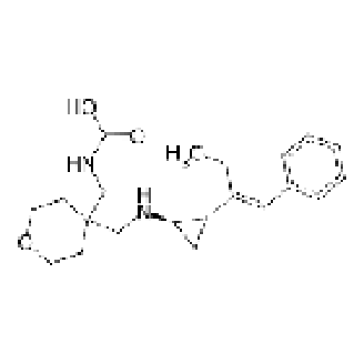 CC/C(=C\c1ccccc1)[C@@H]1C[C@H]1NCC1(CNC(=O)O)CCOCC1